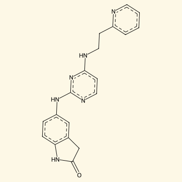 O=C1Cc2cc(Nc3nccc(NCCc4ccccn4)n3)ccc2N1